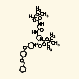 CC(C)(C)OC(=O)NCC(=O)N[C@@H]1C[C@@H](C(=O)N2CCC(Oc3ccc(OCc4ccccc4)cc3)CC2)N(C(=O)OC(C)(C)C)C1